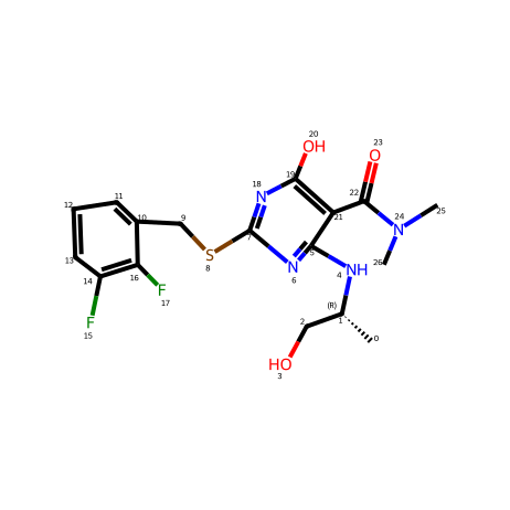 C[C@H](CO)Nc1nc(SCc2cccc(F)c2F)nc(O)c1C(=O)N(C)C